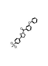 CS(=O)(=O)c1ccc(C2=NN(C(=O)c3cccc(Oc4ccccc4)c3)CC2)cc1